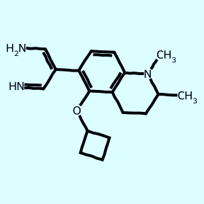 CC1CCc2c(ccc(/C(C=N)=C/N)c2OC2CCC2)N1C